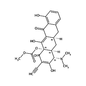 C#CC1=C(O)[C@@H](N(C)C)[C@@H]2C[C@@H]3Cc4cccc(O)c4C(=O)C3=C(O)[C@]2(OC(=O)OC)C1=O